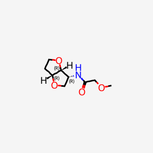 COCC(=O)N[C@@H]1CO[C@@H]2CCO[C@H]12